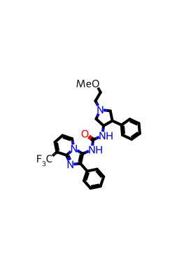 COCCN1CC(NC(=O)Nc2c(-c3ccccc3)nc3c(C(F)(F)F)cccn23)C(c2ccccc2)C1